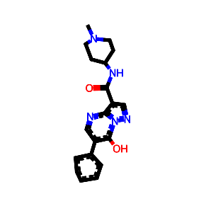 CN1CCC(NC(=O)c2cnn3c(O)c(-c4ccccc4)cnc23)CC1